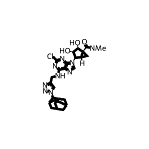 CNC(=O)[C@@]12C[C@@H]1[C@@H](n1cnc3c(NCc4cn(C5C6CC7CC(C6)CC5C7)nn4)nc(Cl)nc31)[C@H](O)[C@@H]2O